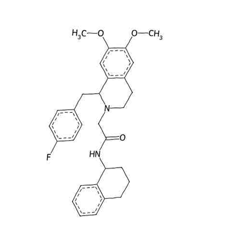 COc1cc2c(cc1OC)C(Cc1ccc(F)cc1)N(CC(=O)NC1CCCc3ccccc31)CC2